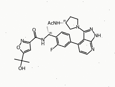 CC(=O)N[C@@H]1CCN(c2n[nH]c3nccc(-c4ccc([C@@H](C)NC(=O)c5cc(C(C)(C)O)on5)c(F)c4)c23)C1